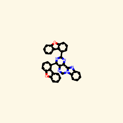 c1ccc2c(c1)nc1c3nc(-c4cccc5oc6ccccc6c45)nc(-c4cccc5oc6ccccc6c45)c3ncn21